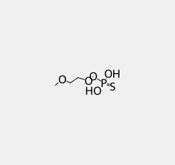 COCCOOP(O)(O)=S